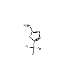 [2H]C([2H])(Cl)c1cnc(NC(C)=O)s1